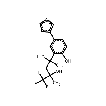 [CH2]C(O)(CC(C)(C)c1cc(-c2ccsc2)ccc1O)C(F)(F)F